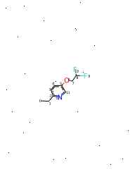 CCc1ccc(OCC(F)F)cn1